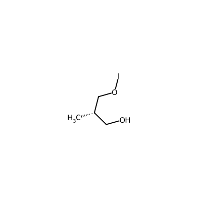 C[C@@H](CO)COI